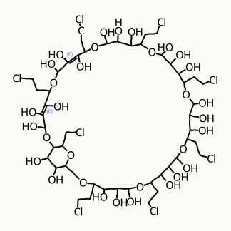 O/C1=C(/O)C(CCCl)OC(O)/C(O)=C(\O)C(CCCl)OC(O)C(O)C(O)C(CCCl)OC(O)C(O)C(O)C(CCCl)OC(O)C(O)C(O)C(CCCl)OC(O)C(O)C(O)C(CCCl)OC(O)C(O)C(O)C(CCCl)OC2OC(CCl)C(OC1O)C(O)C2O